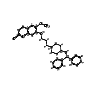 COc1cc2ccc(=O)oc2cc1OCCCN1CCC(OC(c2ccccc2)c2ccccc2)CC1